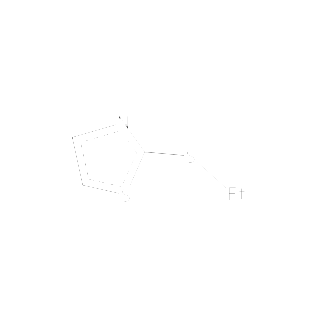 CCSc1nccs1